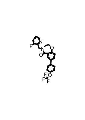 O=C1c2cc(-c3ccc(OC(F)(F)F)cc3)ccc2OCCN1Cc1ncccc1F